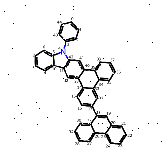 c1ccc(-n2c3ccccc3c3cc4c5ccc(-c6cc7ccccc7c7ccccc67)cc5c5ccccc5c4cc32)cc1